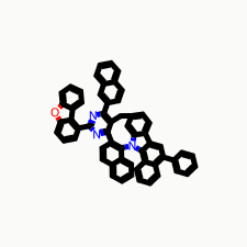 c1ccc(-c2cc3c4ccc5cc4n(c3c3ccccc23)-c2c(ccc3ccccc23)-c2nc(-c3cccc4oc6ccccc6c34)nc(-c3ccc4ccccc4c3)c2C5)cc1